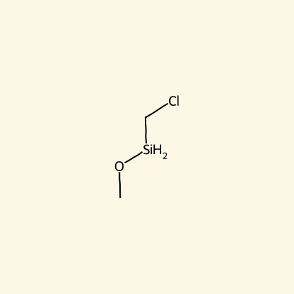 CO[SiH2]CCl